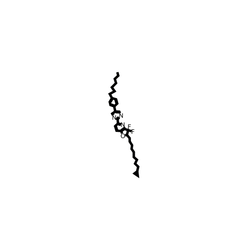 CCCCCCCc1ccc(-c2cnc(-c3ccc4c(n3)C(F)(F)C(CCCCCCCCCC3CC3)O4)nc2)cc1